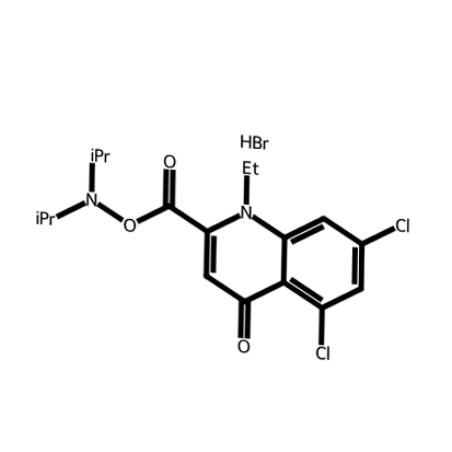 Br.CCn1c(C(=O)ON(C(C)C)C(C)C)cc(=O)c2c(Cl)cc(Cl)cc21